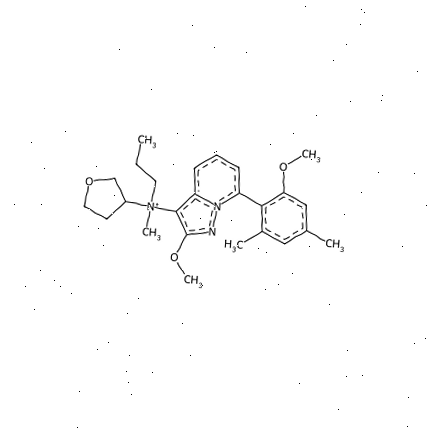 CCC[N+](C)(c1c(OC)nn2c(-c3c(C)cc(C)cc3OC)cccc12)C1CCOC1